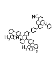 CC1(C)c2ccccc2-c2ccc(-c3c4ccccc4c(-c4ccc5c(c4)C(C)(C)c4ccccc4-5)c4cc(-c5ccc(-c6ccc7c8c6ccc6c(C#N)ccc(c68)CN7c6ccccc6)cc5)ccc34)cc21